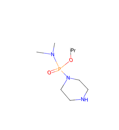 CC(C)OP(=O)(N(C)C)N1CCNCC1